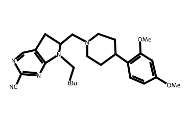 COc1ccc(C2CCN(CC3Cc4cnc(C#N)nc4N3CC(C)(C)C)CC2)c(OC)c1